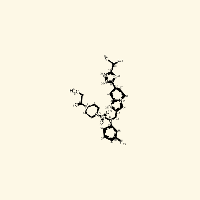 CCC(=O)N1CCN(S(=O)(=O)N(Cc2cn3ccc(-c4nnc(C(F)F)o4)cc3n2)c2cccc(F)c2)CC1